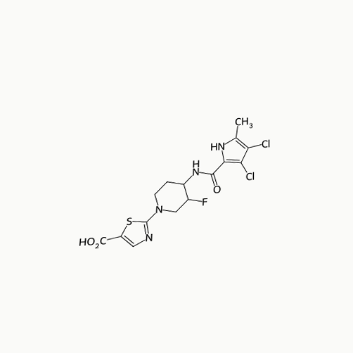 Cc1[nH]c(C(=O)NC2CCN(c3ncc(C(=O)O)s3)CC2F)c(Cl)c1Cl